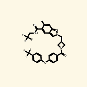 Cc1cc2nn(CC3CN(C(=O)c4ccc(Oc5ccc(C(F)(F)F)cc5)cc4)C3)cc2cc1C(=O)NCC(F)(F)F